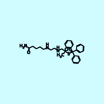 CC(C)(CNCCNCCCCC(N)=O)SC(c1ccccc1)(c1ccccc1)c1ccccc1